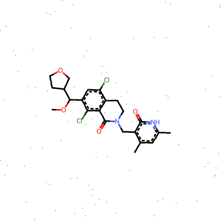 COC(c1cc(Cl)c2c(c1Cl)C(=O)N(Cc1c(C)cc(C)[nH]c1=O)CC2)C1CCOC1